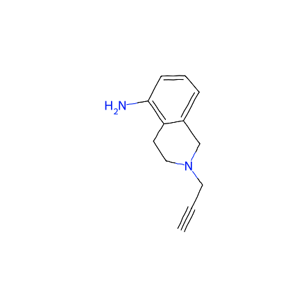 C#CCN1CCc2c(N)cccc2C1